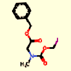 CN(CC(=O)OCc1ccccc1)C(=O)OCI